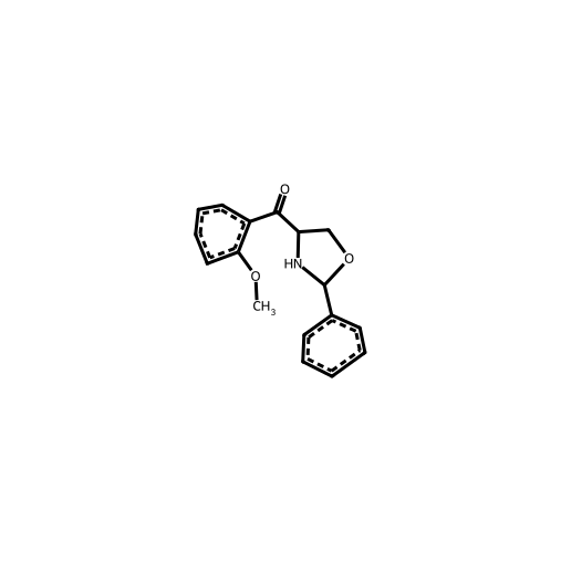 COc1ccccc1C(=O)C1COC(c2ccccc2)N1